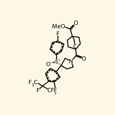 COC(=O)C12CCC(C(=O)N3CC[C@](c4ccc(C(F)(C(F)(F)F)C(F)(F)F)c(F)c4)([S+]([O-])c4ccc(F)cc4)C3)(CC1)CC2